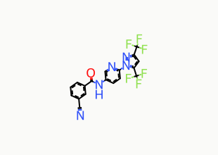 N#Cc1cccc(C(=O)Nc2ccc(-n3nc(C(F)(F)F)cc3C(F)(F)F)nc2)c1